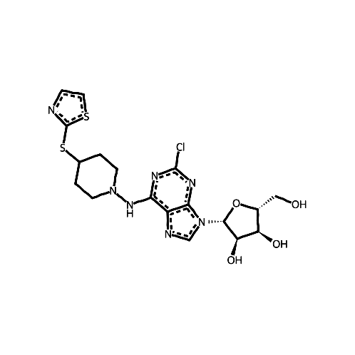 OC[C@H]1O[C@@H](n2cnc3c(NN4CCC(Sc5nccs5)CC4)nc(Cl)nc32)[C@H](O)[C@@H]1O